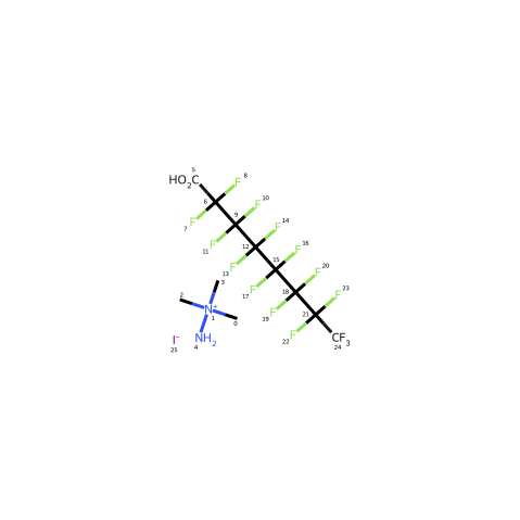 C[N+](C)(C)N.O=C(O)C(F)(F)C(F)(F)C(F)(F)C(F)(F)C(F)(F)C(F)(F)C(F)(F)F.[I-]